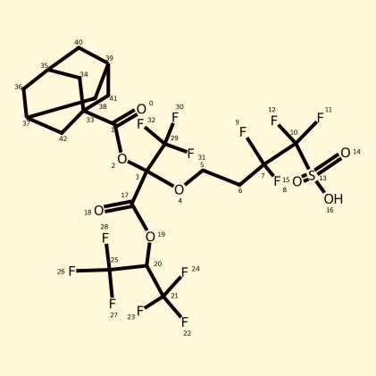 O=C(OC(OCCC(F)(F)C(F)(F)S(=O)(=O)O)(C(=O)OC(C(F)(F)F)C(F)(F)F)C(F)(F)F)C12CC3CC(CC(C3)C1)C2